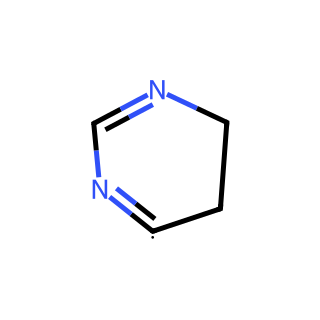 [C]1=NC=NCC1